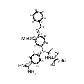 CCC(C)S(=O)(=O)NC(C)N(c1ccc(C(=N)N)cc1)c1ccc(OCc2ccccc2)c(OC)c1